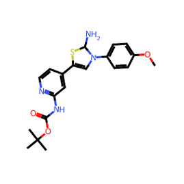 COc1ccc(N2C=C(c3ccnc(NC(=O)OC(C)(C)C)c3)SC2N)cc1